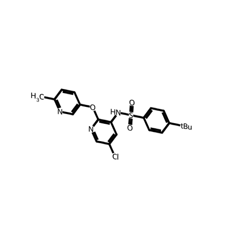 Cc1ccc(Oc2ncc(Cl)cc2NS(=O)(=O)c2ccc(C(C)(C)C)cc2)cn1